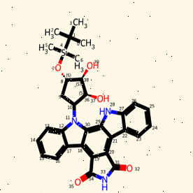 CC(C)(C)[Si](C)(C)O[C@H]1CC(n2c3ccccc3c3c4c(c5c6ccccc6[nH]c5c32)C(=O)NC4=O)[C@H](O)[C@@H]1O